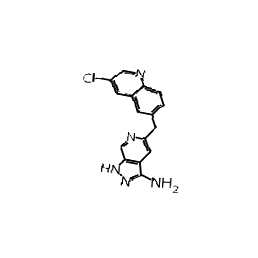 Nc1n[nH]c2cnc(Cc3ccc4ncc(Cl)cc4c3)cc12